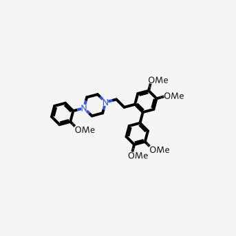 COc1ccc(-c2cc(OC)c(OC)cc2CCN2CCN(c3ccccc3OC)CC2)cc1OC